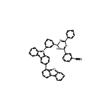 N#Cc1cccc(C2=NC(c3ccccc3)=NC(c3cccc(-n4c5ccccc5c5cc(-c6cccc7c6oc6ccccc67)ccc54)c3)N2)c1